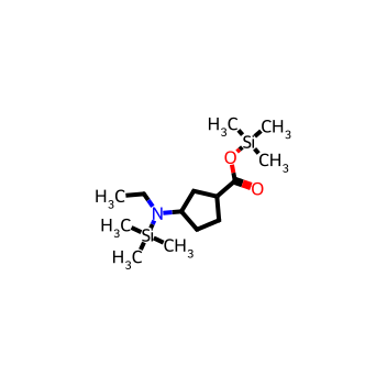 CCN(C1CCC(C(=O)O[Si](C)(C)C)C1)[Si](C)(C)C